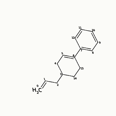 C=CCC1CC=C(c2ccccc2)CC1